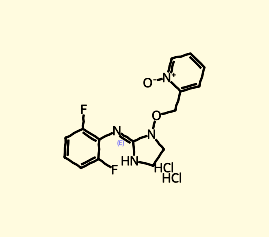 Cl.Cl.[O-][n+]1ccccc1CON1CCN/C1=N\c1c(F)cccc1F